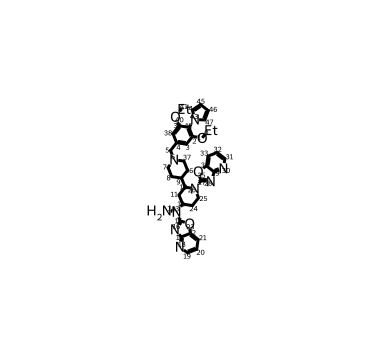 CCOc1cc(CN2CCC(C3CC(N(N)c4nc5ncccc5o4)CCN3c3nc4ncccc4o3)CC2)cc(OCC)c1-n1cccc1